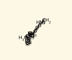 C=CC(=O)NCCOCCOCCOCCNc1cccc2c([C@H]3CN([C@H]4CCc5cccc(F)c54)C[C@@H]3N(C)C)cn(C)c12